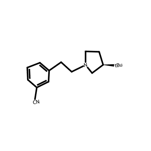 CC(C)(C)[C@@H]1CCN(CCc2cccc(C#N)c2)C1